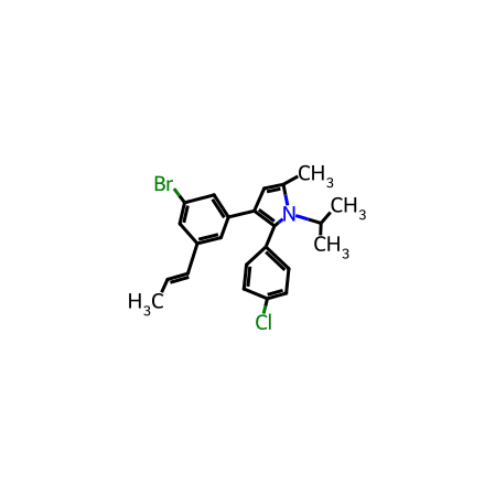 C/C=C/c1cc(Br)cc(-c2cc(C)n(C(C)C)c2-c2ccc(Cl)cc2)c1